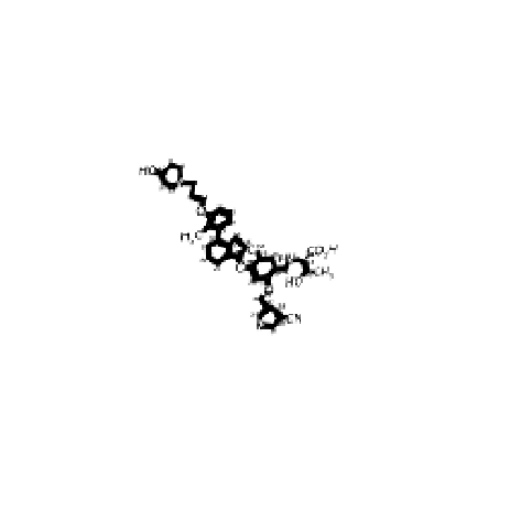 Cc1c(OCCCN2CCC(O)CC2)cccc1-c1cccc2c1CCC2Oc1cc(OCc2cncc(C#N)c2)c(CN[C@H](C(=O)O)[C@@H](C)O)cc1Cl